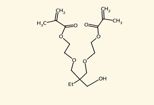 C=C(C)C(=O)OCCOCC(CC)(CO)COCCOC(=O)C(=C)C